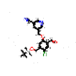 CC(C)(C)[Si](C)(C)OCc1cc(OCc2cncc(C#N)c2)c(C=O)cc1Cl